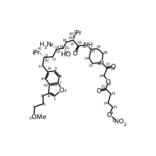 COCCCc1coc2ccc(C[C@@H](C[C@H](N)[C@@H](O)C[C@H](C(=O)NC3CCN(C(=O)COC(=O)CCCO[N+](=O)[O-])CC3)C(C)C)C(C)C)cc12